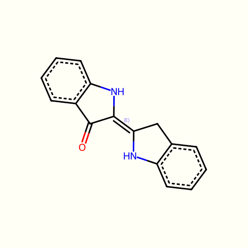 O=C1/C(=C2/Cc3ccccc3N2)Nc2ccccc21